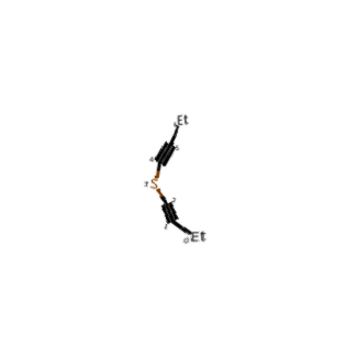 CCC#CSC#CCC